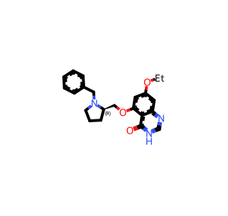 CCOc1cc(OC[C@H]2CCCN2Cc2ccccc2)c2c(=O)[nH]cnc2c1